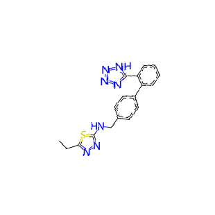 CCc1nnc(NCc2ccc(-c3ccccc3-c3nnn[nH]3)cc2)s1